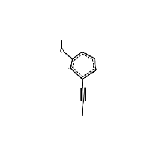 CC#Cc1[c]c(OC)ccc1